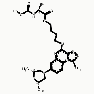 Cc1nnc2c(NCCCCNC(=O)[C@@H](NC(=O)OC(C)C)C(C)C)nc3cc(N4C[C@@H](C)O[C@@H](C)C4)ccc3n12